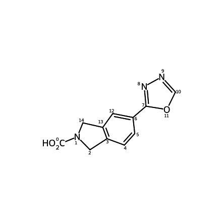 O=C(O)N1Cc2ccc(-c3nnco3)cc2C1